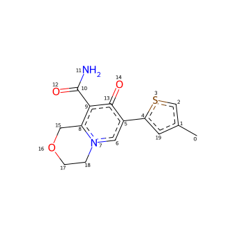 Cc1csc(-c2cn3c(c(C(N)=O)c2=O)COCC3)c1